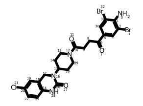 Nc1c(Br)cc(C(=O)CCC(=O)N2CCC(N3Cc4cc(Cl)ccc4NC3=O)CC2)cc1Br